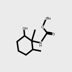 CC1CCCC(O)C1(C)NC(=O)OC(C)(C)C